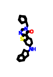 O=c1c2c3c(sc2ncn1Cc1ccccc1)CC(NC1Cc2ccccc2C1)CC3